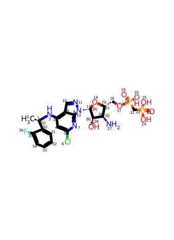 C[C@H](Nc1cc(Cl)nc2c1cnn2[C@@H]1O[C@H](COP(=O)(O)CP(=O)(O)O)[C@@H](N)[C@H]1O)c1ccccc1F